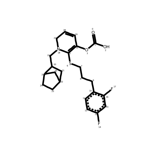 O=C(O)OC1=C(SCCCc2ccc(F)cc2F)N(CC2CC3CCC2C3)CC=C1